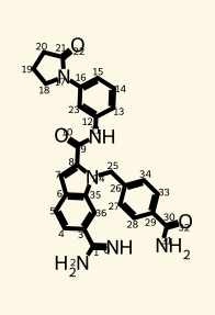 N=C(N)c1ccc2cc(C(=O)Nc3cccc(N4CCCC4=O)c3)n(Cc3ccc(C(N)=O)cc3)c2c1